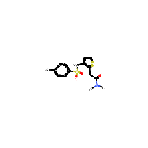 CCCc1ccc(S(=O)(=O)[AsH]c2ccsc2CC(=O)N(C)CC)cc1